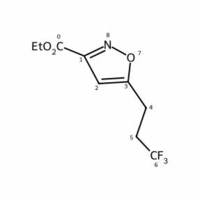 CCOC(=O)c1cc(CCC(F)(F)F)on1